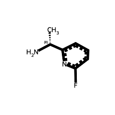 C[C@@H](N)c1cccc(F)n1